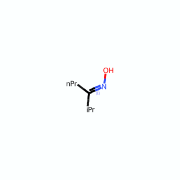 CCC/C(=N\O)C(C)C